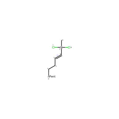 CCCCCCC/C=C/[Si](C)(Cl)Cl